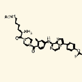 CC(=O)NCCCC[C@H](N)C(=O)N1CCN(C(=O)c2ccc(Nc3nccn4c(-c5ccc(OC(F)F)cc5)cnc34)cc2C)CC1